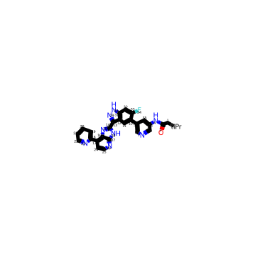 CC(C)CC(=O)Nc1cncc(-c2cc3c(-c4nc5c(-c6ccccn6)ccnc5[nH]4)n[nH]c3cc2F)c1